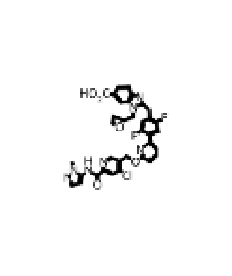 Cn1nccc1NC(=O)c1cc(Cl)c(COc2cccc(-c3cc(F)c(Cc4nc5ccc(C(=O)O)cc5n4CC4CCO4)cc3F)n2)cn1